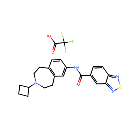 O=C(Nc1ccc2c(c1)CCN(C1CCC1)CC2)c1ccc2nsnc2c1.O=C(O)C(F)(F)F